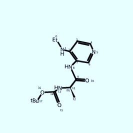 CCNc1ccncc1NC(=O)[C@@H](C)NC(=O)OC(C)(C)C